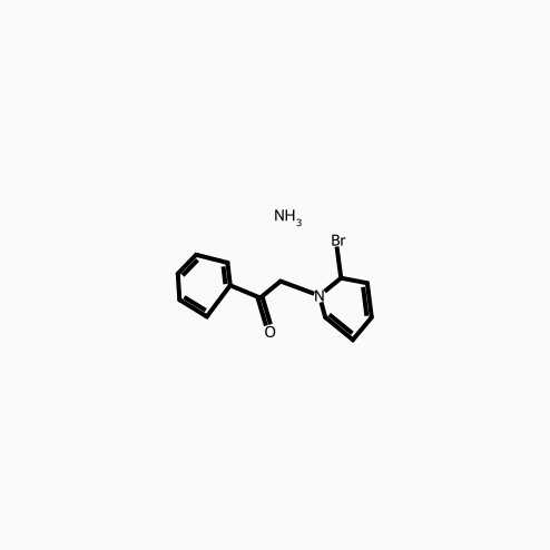 N.O=C(CN1C=CC=CC1Br)c1ccccc1